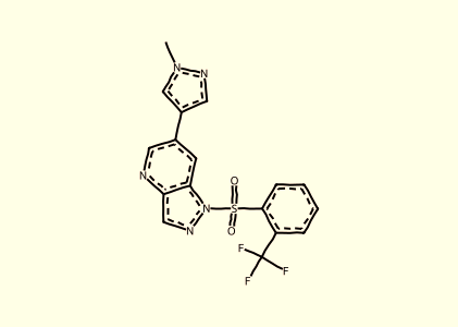 Cn1cc(-c2cnc3cnn(S(=O)(=O)c4ccccc4C(F)(F)F)c3c2)cn1